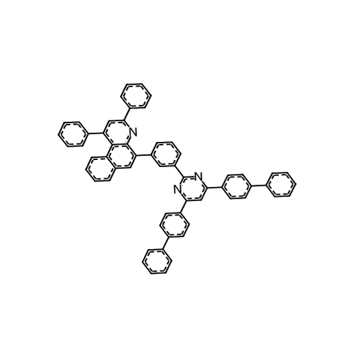 c1ccc(-c2ccc(-c3cc(-c4ccc(-c5ccccc5)cc4)nc(-c4cccc(-c5cc6ccccc6c6c(-c7ccccc7)cc(-c7ccccc7)nc56)c4)n3)cc2)cc1